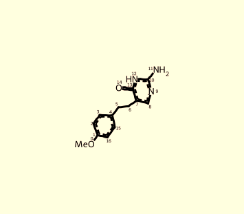 COc1ccc(CCc2cnc(N)[nH]c2=O)cc1